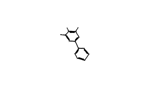 CCc1cc(-c2ccccc2)cc(CC)c1CC